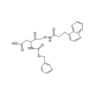 O=C(O)CC(NC(=O)OCc1ccccc1)C(=O)CONC(=O)CCc1cccc2ccccc12